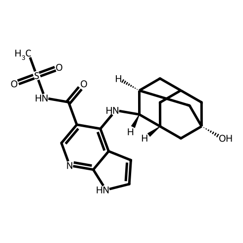 CS(=O)(=O)NC(=O)c1cnc2[nH]ccc2c1N[C@H]1[C@@H]2CC3C[C@H]1C[C@@](O)(C3)C2